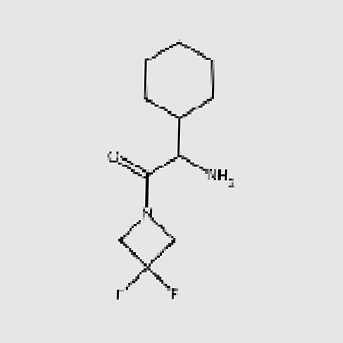 NC(C(=O)N1CC(F)(F)C1)C1CCCCC1